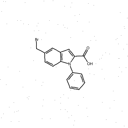 O=C(O)c1cc2cc(CBr)ccc2n1-c1ccccc1